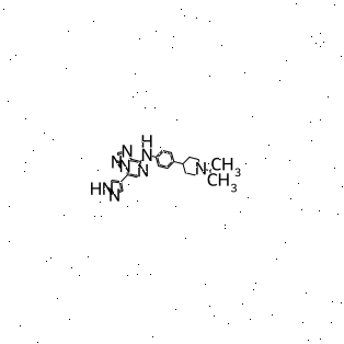 CC(C)N1CCC(c2ccc(Nc3ncc(-c4cn[nH]c4)n4ncnc34)cc2)CC1